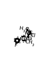 CC1CN(c2[c]ccc(F)c2)CCN1C(=O)c1nn(C)cc1Cl